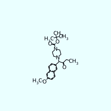 CCC(=O)C(c1ccc2cc(OC)ccc2c1)N1CCN(C(=O)OC(C)(C)C)CC1